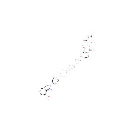 NC(=O)c1cccc2cn(-c3ccc(C4CCN(C5CN(C6CN(c7ccc8c(c7)C(=O)N(C7CCC(=O)NC7=O)C8=O)C6)C5)CC4)cc3)nc12